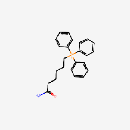 NC(=O)CCCCC[PH](c1ccccc1)(c1ccccc1)c1ccccc1